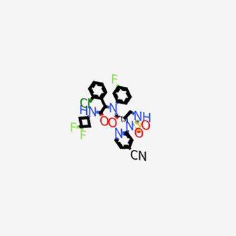 N#Cc1ccnc(N2[C@H](C(=O)N(c3cccc(F)c3)C(C(=O)NC3CC(F)(F)C3)c3ccccc3Cl)CNS2(=O)=O)c1